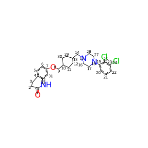 O=C1CCc2ccc(OCC3CCC(CN4CCN(c5cccc(Cl)c5Cl)CC4)CC3)cc2N1